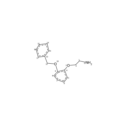 NCCOc1ccccc1OCc1ccccc1